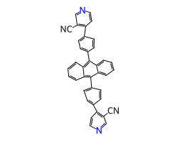 N#Cc1cnccc1-c1ccc(-c2c3ccccc3c(-c3ccc(-c4ccncc4C#N)cc3)c3ccccc23)cc1